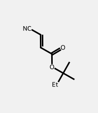 CCC(C)(C)OC(=O)C=CC#N